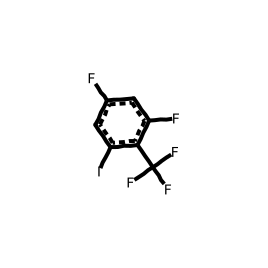 Fc1cc(F)c(C(F)(F)F)c(I)c1